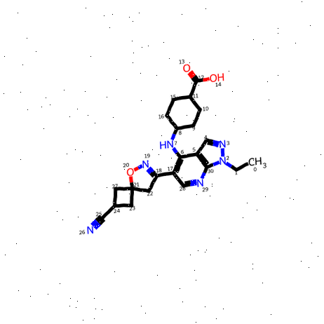 CCn1ncc2c(NC3CCC(C(=O)O)CC3)c(C3=NOC4(C3)CC(C#N)C4)cnc21